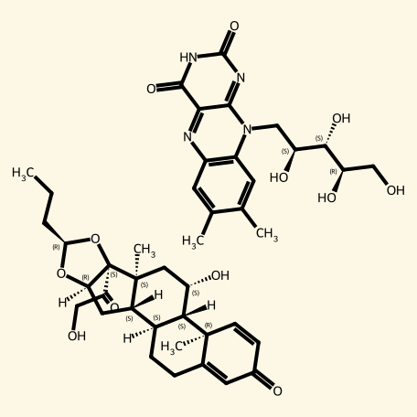 CCC[C@@H]1O[C@@H]2C[C@H]3[C@@H]4CCC5=CC(=O)C=C[C@]5(C)[C@H]4[C@@H](O)C[C@]3(C)[C@]2(C(=O)CO)O1.Cc1cc2nc3c(=O)[nH]c(=O)nc-3n(C[C@H](O)[C@H](O)[C@H](O)CO)c2cc1C